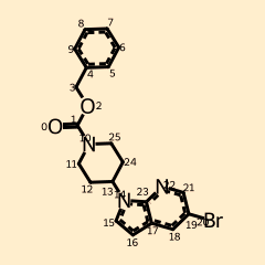 O=C(OCc1ccccc1)N1CCC(n2ccc3cc(Br)cnc32)CC1